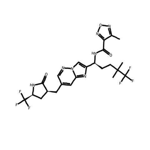 Cc1nonc1C(=O)N[C@@H](CCC(C)(C)C(F)(F)F)c1cn2ncc(C[C@H]3C[C@@H](C(F)(F)F)NC3=O)cc2n1